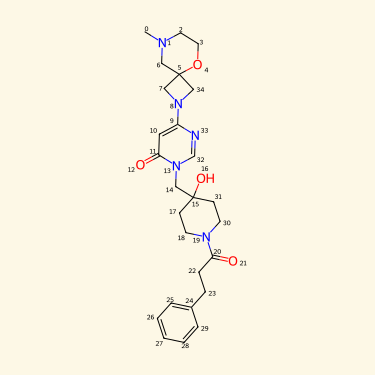 CN1CCOC2(C1)CN(c1cc(=O)n(CC3(O)CCN(C(=O)CCc4ccccc4)CC3)cn1)C2